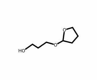 OCCCOC1CCCO1